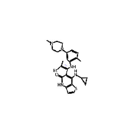 CC/C(C)=C(/Nc1cc(N2CCN(C)CC2)ccc1C)c1c(NC2CC2)c2sccc2[nH]c1=O